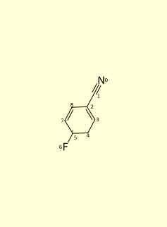 N#CC1=CC[C](F)C=C1